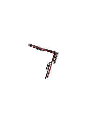 Cl.Cl.Cl.Cl.Cl.Cl.Cl.Cl.Cl.Cl.Cl.Cl.Cl.Cl.Cl.Cl.[Cl-].[Cl-].[Cl-].[Cl-].[Cl-].[Cl-].[Cl-].[Cl-].[Cl-].[Cl-].[Cl-].[Cl-].[Cl-].[Cl-].[Cl-].[Cl-].[Cl-].[Cl-].[Cl-].[Cl-].[Cl-].[Cl-].[Cl-].[Cl-].[Cl-].[Na+].[Na+].[Na+].[Na+].[Na+].[Na+].[Na+].[Na+].[Na+].[Na+].[Na+].[Na+].[Na+].[Na+].[Na+].[Na+].[Na+].[Na+].[Na+].[Na+].[Na+].[Na+].[Na+].[Na+].[Na+]